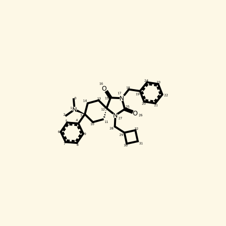 CN(C)[C@]1(c2ccccc2)CC[C@]2(CC1)C(=O)N(Cc1ccccc1)C(=O)N2CC1CCC1